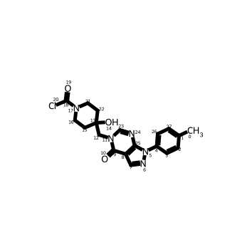 Cc1ccc(-n2ncc3c(=O)n(CC4(O)CCN(C(=O)Cl)CC4)cnc32)cc1